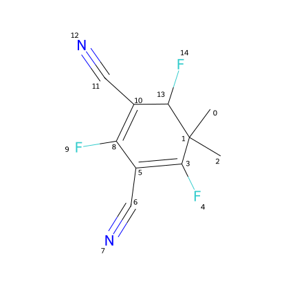 CC1(C)C(F)=C(C#N)C(F)=C(C#N)C1F